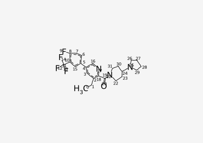 CCc1cc(-c2ccc(F)c(C(F)(F)F)c2)cnc1C(=O)N1CCC(N2CCCC2)CC1